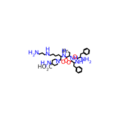 CC(C)CC(NC(=O)C(Cc1ccccc1)NC(=O)C(N)Cc1ccccc1)C(=O)NC(CCCCNCCCN)C(=O)N1CCC(N)(C(=O)O)CC1